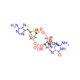 CO[C@H]1[C@H]2OP(=O)(O)OC[C@H]3O[C@@H](c4snc5c(N)ncnc45)C[C@@H]3P(=O)(S)OC[C@H]1O[C@H]2N1C=NC2C(=O)NC(N)=NC21